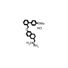 COc1ccc(-c2ccccc2COc2ccc3c(c2)CCC(CN(C)C)C3)cc1.Cl